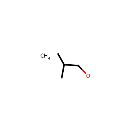 C.CC(C)C[O]